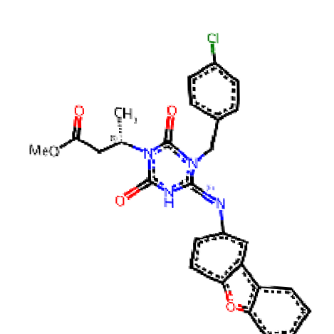 COC(=O)C[C@H](C)n1c(=O)[nH]/c(=N\c2ccc3oc4ccccc4c3c2)n(Cc2ccc(Cl)cc2)c1=O